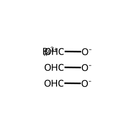 O=C[O-].O=C[O-].O=C[O-].[Bi+3]